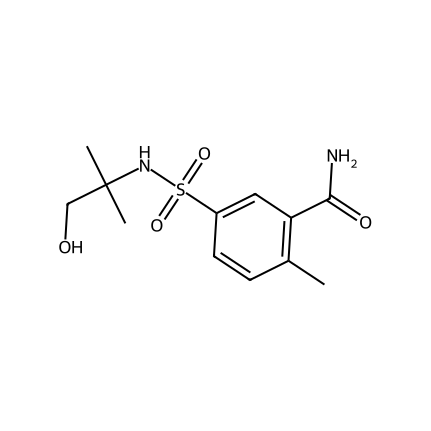 Cc1ccc(S(=O)(=O)NC(C)(C)CO)cc1C(N)=O